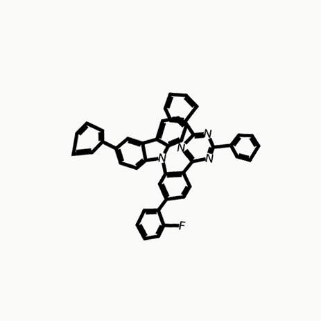 Fc1ccccc1-c1ccc(-c2nc(-c3ccccc3)nc(-c3ccccc3)n2)c(-n2c3ccccc3c3cc(-c4ccccc4)ccc32)c1